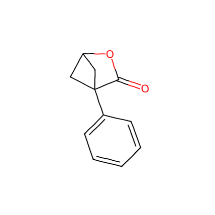 O=C1OC2CC1(c1ccccc1)C2